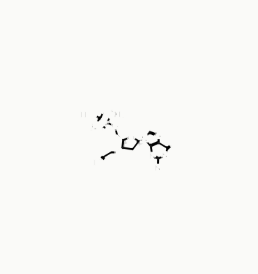 C#CCOC1C[C@H](n2cnc3c(=O)[nH]c(N)nc32)O[C@@H]1CO[Si](C)(C)C(C)(C)C